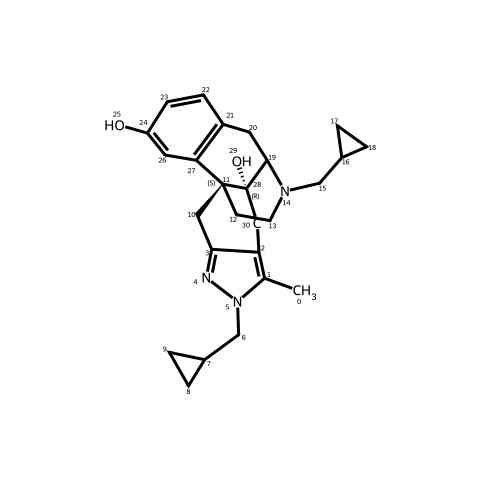 Cc1c2c(nn1CC1CC1)C[C@@]13CCN(CC4CC4)C(Cc4ccc(O)cc41)[C@@]3(O)C2